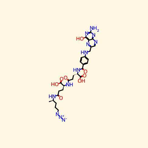 C[C@H](CCCN=[N+]=[N-])NC(=O)CC[C@H](NC(=O)CC[C@H](NC(=O)c1ccc(NCc2cnc3nc(N)nc(O)c3n2)cc1)C(=O)O)C(=O)O